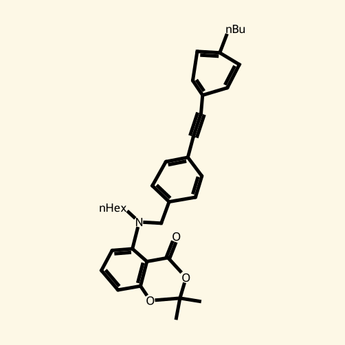 CCCCCCN(Cc1ccc(C#Cc2ccc(CCCC)cc2)cc1)c1cccc2c1C(=O)OC(C)(C)O2